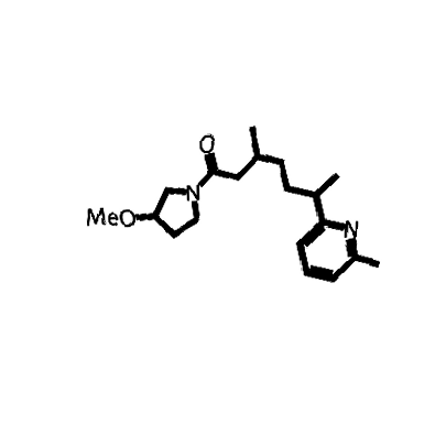 COC1CCN(C(=O)CC(C)CCC(C)c2cccc(C)n2)C1